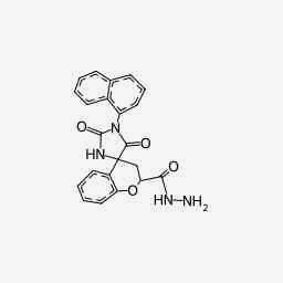 NNC(=O)C1CC2(NC(=O)N(c3cccc4ccccc34)C2=O)c2ccccc2O1